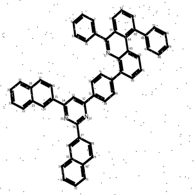 c1ccc(-c2nc3c(-c4ccc(-c5cc(-c6ccc7ccccc7c6)nc(-c6ccc7ccccc7c6)n5)cc4)cccc3c3c(-c4ccccc4)cccc23)cc1